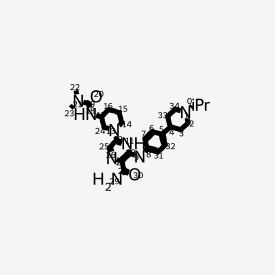 CC(C)N1CCC(c2ccc(Nc3nc(N4CCCC(NC(=O)N(C)C)C4)cnc3C(N)=O)cc2)CC1